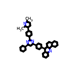 Cc1ccc(-c2ccc(-c3nc(-c4ccccc4)cc(-c4ccc(-c5c6ccccc6nc6c5ccc5ccccc56)cc4)n3)cc2)c(C)n1